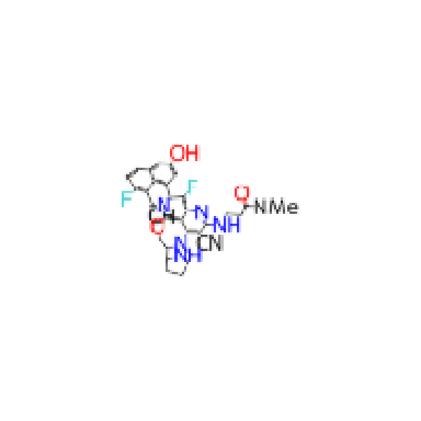 C#Cc1c(F)ccc2cc(O)cc(-c3nc4c5c(c(C#N)c(NCCC(=O)NC)nc5c3F)N3CC5CCC(N5)C3CO4)c12